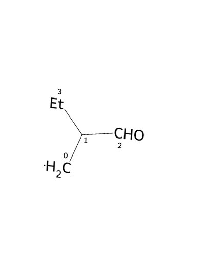 [CH2]C(C=O)CC